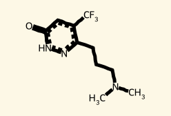 CN(C)CCCc1n[nH]c(=O)cc1C(F)(F)F